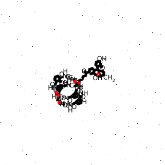 C=c1ccc2c(c1)Oc1cc(O)ccc1C=2c1ccc(C(=O)CCCCCC2CN3CCNC(=O)c4cccc(c4O)C(=O)NCCN(CCNC(=O)c4cccc(c4O)C(=O)N2)CCN2CCNC(=O)c4cccc(c4O)C(=O)NCCN(CCNC(=O)c4cccc(c4O)C(=O)NCC2)CC3)cc1C(=O)O